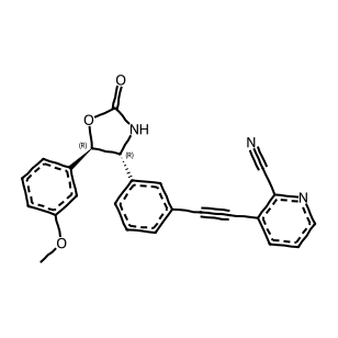 COc1cccc([C@H]2OC(=O)N[C@@H]2c2cccc(C#Cc3cccnc3C#N)c2)c1